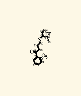 COc1ccccc1C(=O)CCCSc1nnnn1C